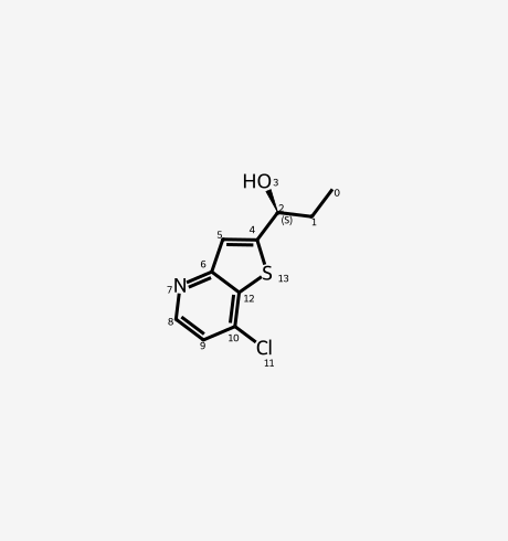 CC[C@H](O)c1cc2nccc(Cl)c2s1